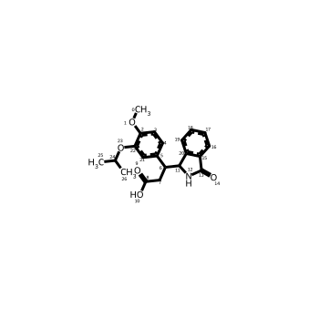 COc1ccc(C(CC(=O)O)C2NC(=O)c3ccccc32)cc1OC(C)C